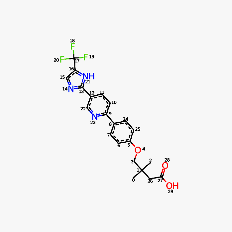 CC(C)(COc1ccc(-c2ccc(-c3ncc(C(F)(F)F)[nH]3)cn2)cc1)CC(=O)O